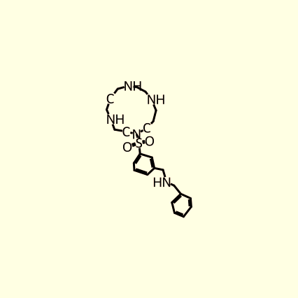 O=S(=O)(c1cccc(CNCc2ccccc2)c1)N1CCCNCCNCCCNCC1